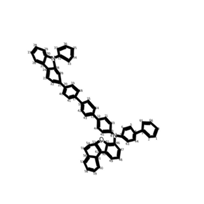 c1ccc(-c2ccc(N(c3ccc(-c4ccc(-c5ccc(-c6ccc7c8ccccc8n(-c8ccccc8)c7c6)cc5)cc4)cc3)c3cccc4c3oc3ccc5ccccc5c34)cc2)cc1